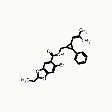 CCC1Oc2cc(Br)c(C(=O)NCC3C(C=C(C)C)C3c3ccccc3)cc2O1